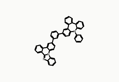 c1ccc(N2c3ccccc3-c3ccccc3-c3cc(-c4cccc(-c5ccc6c(c5)c5ccccc5c5nc7ccccc7n65)c4)ccc32)cc1